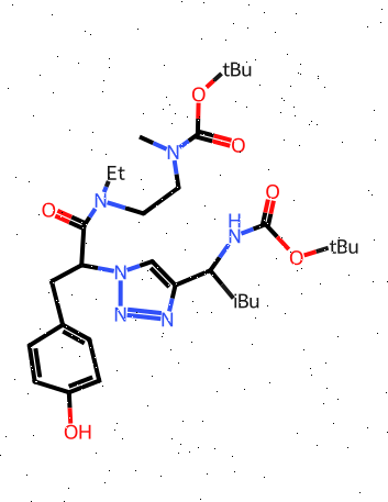 CCC(C)C(NC(=O)OC(C)(C)C)c1cn(C(Cc2ccc(O)cc2)C(=O)N(CC)CCN(C)C(=O)OC(C)(C)C)nn1